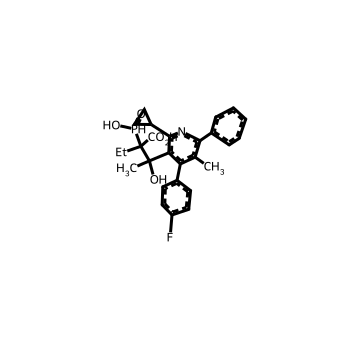 CCC(C(=O)O)([PH](=O)O)C(C)(O)c1c(C2CC2)nc(-c2ccccc2)c(C)c1-c1ccc(F)cc1